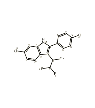 FC(F)C(F)c1c(-c2ccc(Cl)cc2)[nH]c2cc(Cl)ccc12